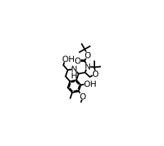 COc1c(C)cc2c(c1O)C(C1COC(C)(C)N1C(=O)OC(C)(C)C)NC(CO)C2